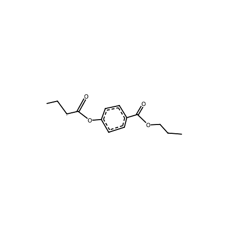 CC[CH]C(=O)Oc1ccc(C(=O)OCCC)cc1